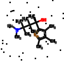 Cc1sc([C@@](C)(O)C(C)(C)C(C)(C)N(C)C(C)(C)C)c(C)c1C